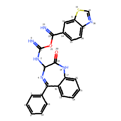 N=C(NC1N=C(c2ccccc2)c2ccccc2NC1=O)OC(=N)c1ccc2ncsc2c1